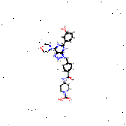 O=C(NC1CCN(C(=O)O)CC1)c1ccc(Cn2nnc3c(N4CCOCC4)nc(-c4cccc(O)c4)nc32)cc1